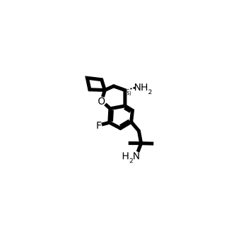 CC(C)(N)Cc1cc(F)c2c(c1)[C@@H](N)CC1(CCC1)O2